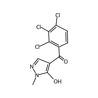 Cn1ncc(C(=O)c2ccc(Cl)c(Cl)c2Cl)c1O